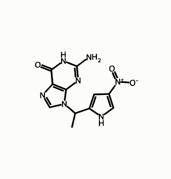 CC(c1cc([N+](=O)[O-])c[nH]1)n1cnc2c(=O)[nH]c(N)nc21